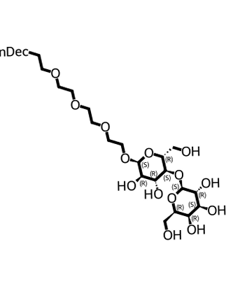 CCCCCCCCCCCCOCCOCCOCCO[C@H]1O[C@H](CO)[C@@H](O[C@@H]2O[C@H](CO)[C@H](O)[C@H](O)[C@H]2O)[C@H](O)[C@H]1O